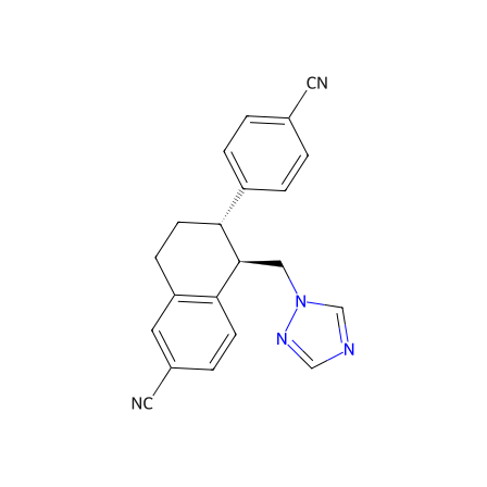 N#Cc1ccc([C@H]2CCc3cc(C#N)ccc3[C@@H]2Cn2cncn2)cc1